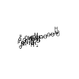 CC(C)C(=O)NCCOCCOCCOCCOCCC(=O)NC[C@@H](NC(=O)[C@@H](N)CCN(C(=O)CO)[C@@H](c1cc(-c2cc(F)ccc2F)cn1Cc1ccccc1)C(C)(C)C)C(=O)O